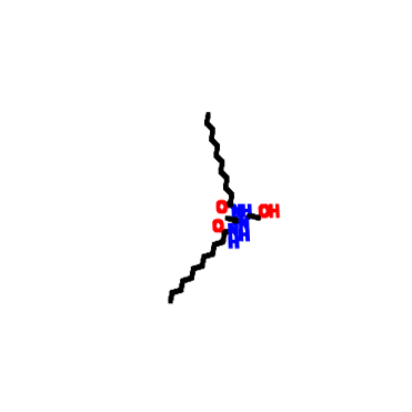 CCCCCCCCCCCC(=O)NC(C)(NCCO)NC(=O)CCCCCCCCCCC